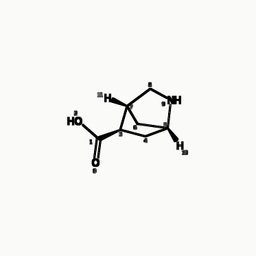 O=C(O)[C@@H]1C[C@@H]2C[C@H]1CN2